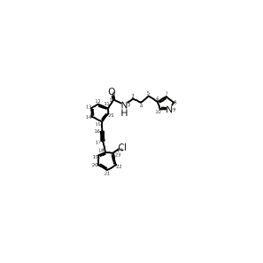 O=C(NCCCC1=CCN=C1)c1cccc(C#Cc2ccccc2Cl)c1